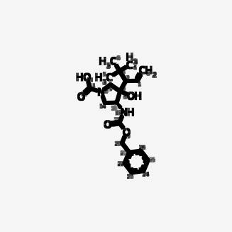 C=CC(C(C)(C)C)C1(O)CN(C(=O)O)C[C@@H]1NC(=O)OCc1ccccc1